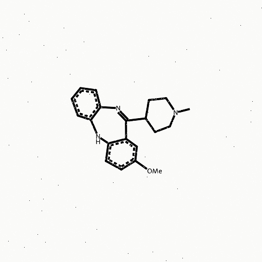 COc1ccc2c(c1)C(C1CCN(C)CC1)=Nc1ccccc1N2